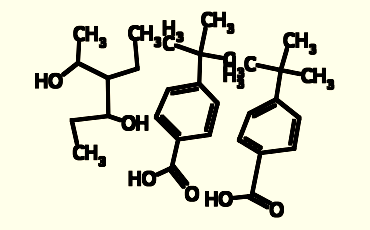 CC(C)(C)c1ccc(C(=O)O)cc1.CC(C)(C)c1ccc(C(=O)O)cc1.CCC(O)C(CC)C(C)O